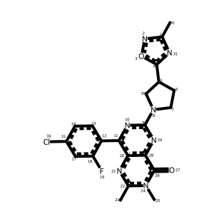 Cc1noc(C2CCN(c3nc(-c4ccc(Cl)cc4F)c4nc(C)n(C)c(=O)c4n3)C2)n1